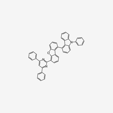 c1ccc(-c2cc(-c3ccccc3)nc(-c3cccc4c3oc3cccc(-c5cccc6c5c5ccccc5n6-c5ccccc5)c34)n2)cc1